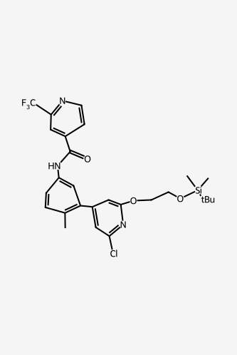 Cc1ccc(NC(=O)c2ccnc(C(F)(F)F)c2)cc1-c1cc(Cl)nc(OCCO[Si](C)(C)C(C)(C)C)c1